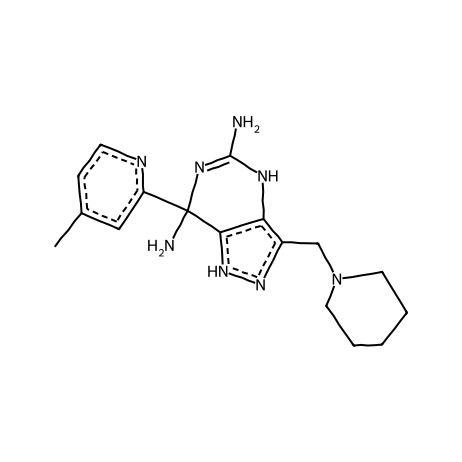 Cc1ccnc(C2(N)N=C(N)Nc3c(CN4CCCCC4)n[nH]c32)c1